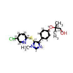 Cn1cnc(-c2ccc(OC(C)(C)CO)cc2)c1Sc1ccc(Cl)cn1